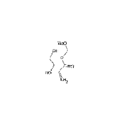 C=CC(=O)OCOC.OCCO